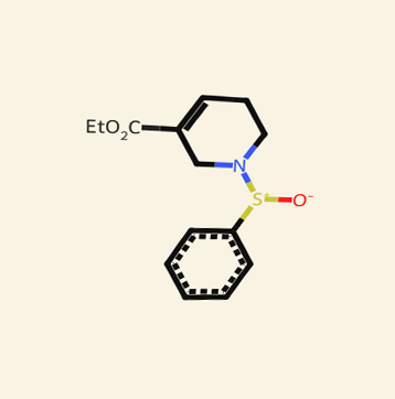 CCOC(=O)C1=CCCN([S+]([O-])c2ccccc2)C1